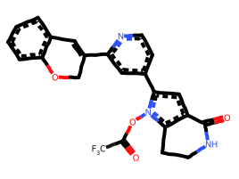 O=C1NCCc2c1cc(-c1ccnc(C3=Cc4ccccc4OC3)c1)n2OC(=O)C(F)(F)F